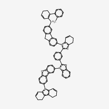 Cc1ccccc1C1=C(Cc2ccc3c(c2)-c2cc(-n4c(-c5cccc(-c6nc7ccccc7n6-c6ccc7oc8ccc(-n9c%10c(c%11c9C=CCC%11)CCC=C%10)cc8c7c6)c5)nc5c4C=CCC5)ccc2C3)C=CCC1